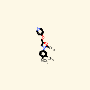 O=[N+]([O-])c1ccc(N2CC(COc3ccncc3)OC2C(F)(F)F)cc1C(F)(F)F